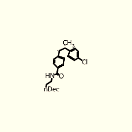 CCCCCCCCCCCCNC(=O)c1ccc([CH][C@H](C)c2ccc(Cl)cc2)cc1